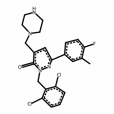 Cc1cc(-c2cc(CN3CCNCC3)c(=O)n(Cc3c(Cl)cccc3Cl)n2)ccc1F